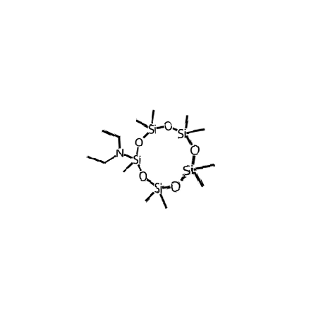 CCN(CC)[Si]1(C)O[Si](C)(C)O[Si](C)(C)O[Si](C)(C)O[Si](C)(C)O1